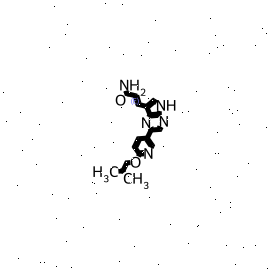 CC(C)COc1ccc(-c2cnc3[nH]cc(/C=C/C(N)=O)c3n2)cn1